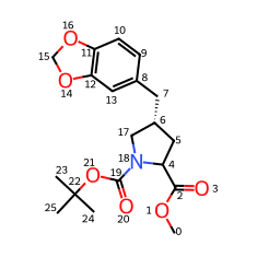 COC(=O)C1C[C@@H](Cc2ccc3c(c2)OCO3)CN1C(=O)OC(C)(C)C